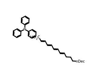 CCCCCCCCCCCCCC=CC=CC=CC=CC(=O)O.c1ccc(N(c2ccccc2)c2ccccc2)cc1